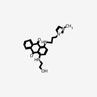 Cn1cc[n+](CCCNc2ccc(NCCO)c3c2C(=O)c2ccccc2C3=O)c1